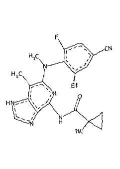 CCc1cc(C#N)cc(F)c1N(C)c1nc(NC(=O)C2(C#N)CC2)c2nc[nH]c2c1C